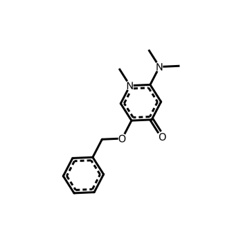 CN(C)c1cc(=O)c(OCc2ccccc2)cn1C